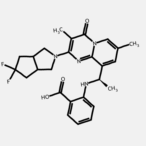 Cc1cc([C@@H](C)Nc2ccccc2C(=O)O)c2nc(N3CC4CC(F)(F)CC4C3)c(C)c(=O)n2c1